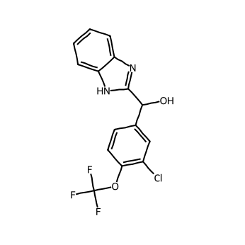 OC(c1ccc(OC(F)(F)F)c(Cl)c1)c1nc2ccccc2[nH]1